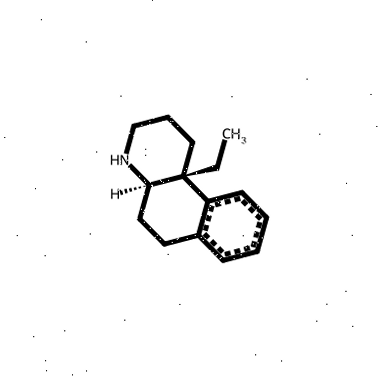 CC[C@]12CCCN[C@@H]1CCc1ccccc12